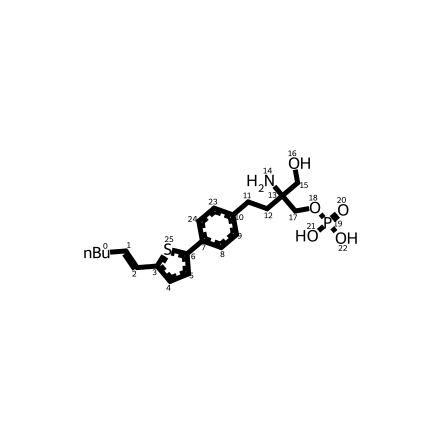 CCCCC=Cc1ccc(-c2ccc(CCC(N)(CO)COP(=O)(O)O)cc2)s1